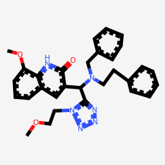 COCCn1nnnc1C(c1cc2cccc(OC)c2[nH]c1=O)N(CCc1ccccc1)Cc1ccccc1